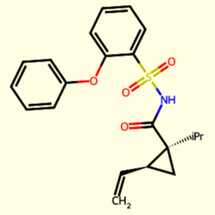 C=C[C@@H]1C[C@@]1(C(=O)NS(=O)(=O)c1ccccc1Oc1ccccc1)C(C)C